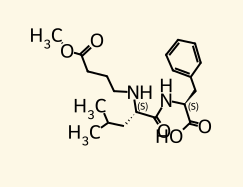 COC(=O)CCCN[C@@H](CC(C)C)C(=O)N[C@@H](Cc1ccccc1)C(=O)O